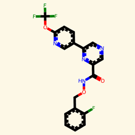 O=C(NOCc1ccccc1F)c1cncc(-c2ccc(OC(F)(F)F)nc2)n1